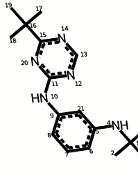 CC(C)(C)Nc1cccc(Nc2ncnc(C(C)(C)C)n2)c1